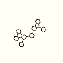 c1ccc(-c2cc(-c3cccc(-c4ccc5c6ccccc6n(-c6ccccc6)c5c4)c3)cc3c4ccccc4c4ccccc4c23)cc1